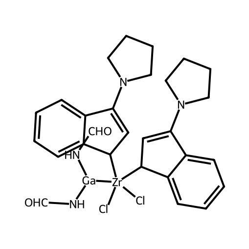 O=C[NH][Ga]([NH]C=O)[Zr]([Cl])([Cl])([CH]1C=C(N2CCCC2)c2ccccc21)[CH]1C=C(N2CCCC2)c2ccccc21